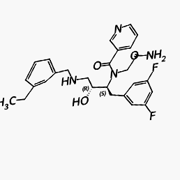 CCc1cccc(CNC[C@@H](O)[C@H](Cc2cc(F)cc(F)c2)N(CC(N)=O)C(=O)c2cccnc2)c1